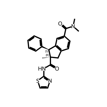 CN(C)C(=O)c1ccc2c(c1)[C@H](c1ccccc1)[C@](C)(C(=O)Nc1nccs1)C2